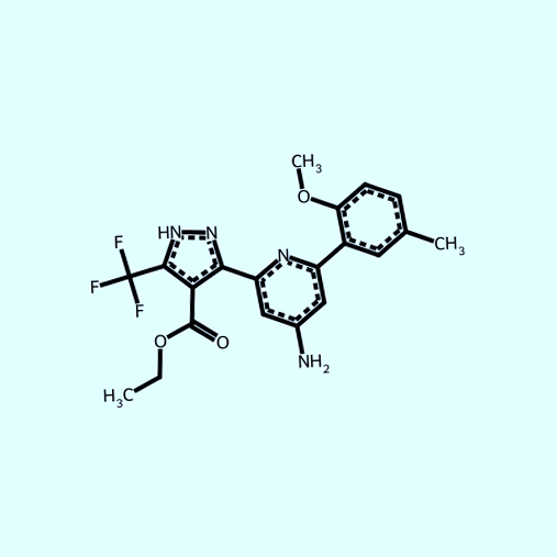 CCOC(=O)c1c(-c2cc(N)cc(-c3cc(C)ccc3OC)n2)n[nH]c1C(F)(F)F